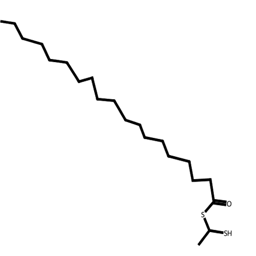 CC(C)CCCCCCCCCCCCCCCCCC(=O)SC(C)S